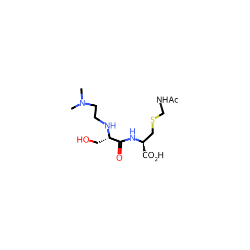 CC(=O)NCSC[C@H](NC(=O)[C@H](CO)NCCN(C)C)C(=O)O